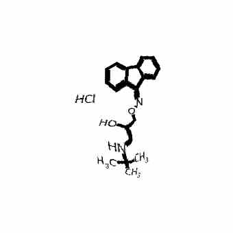 CC(C)(C)NCC(O)CON=C1c2ccccc2-c2ccccc21.Cl